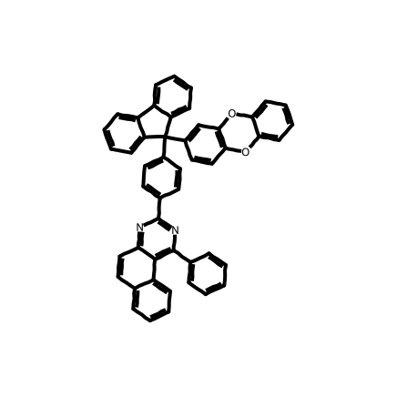 c1ccc(-c2nc(-c3ccc(C4(c5ccc6c(c5)Oc5ccccc5O6)c5ccccc5-c5ccccc54)cc3)nc3ccc4ccccc4c23)cc1